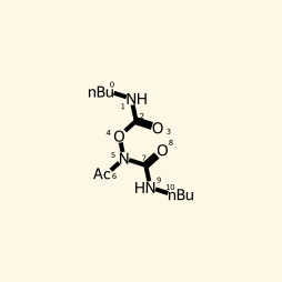 CCCCNC(=O)ON(C(C)=O)C(=O)NCCCC